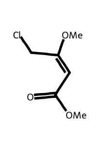 COC(=O)C=C(CCl)OC